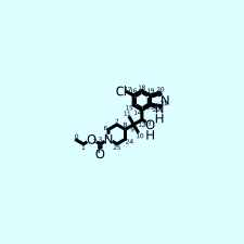 CCOC(=O)N1CCC(C(C)(C)C(O)c2cc(Cl)cc3cn[nH]c23)CC1